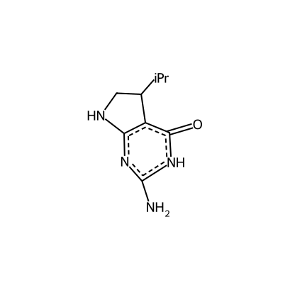 CC(C)C1CNc2nc(N)[nH]c(=O)c21